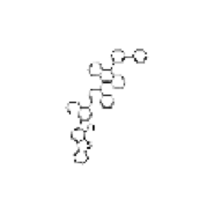 c1ccc(-c2cccc(-c3c4ccccc4c(-c4ccc(-c5cc6oc7c(ccc8c9ccccc9sc87)c6c6ccccc56)c5ccccc45)c4ccccc34)c2)cc1